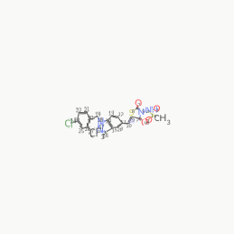 CS(=O)(=O)NN1C(=O)S/C(=C\c2ccc3c(cnn3Cc3ccc(Cl)cc3C(F)(F)F)c2)C1=O